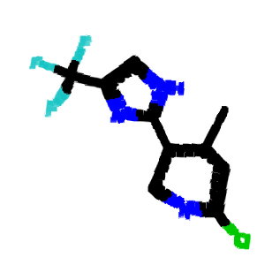 Cc1cc(Cl)ncc1-c1nc(C(F)(F)F)c[nH]1